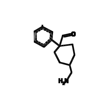 NCC1CCC(C=O)(c2c[c]ccc2)CC1